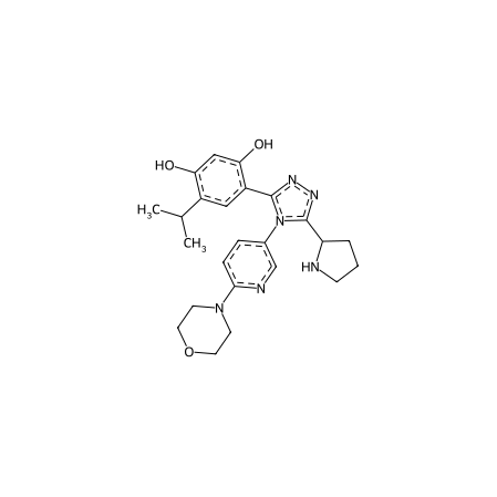 CC(C)c1cc(-c2nnc(C3CCCN3)n2-c2ccc(N3CCOCC3)nc2)c(O)cc1O